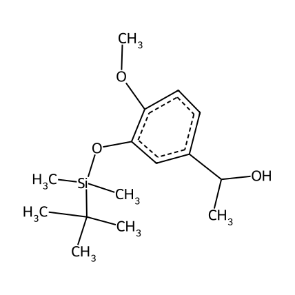 COc1ccc(C(C)O)cc1O[Si](C)(C)C(C)(C)C